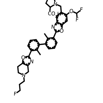 Cc1c(-c2nc3c(o2)CCN(CCCF)C3)cccc1-c1cccc(-c2nc3cc(CN4CCCC4C(=O)O)c(OC(F)F)cc3o2)c1C